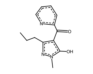 CCCc1nn(C)c(O)c1C(=O)c1ccccn1